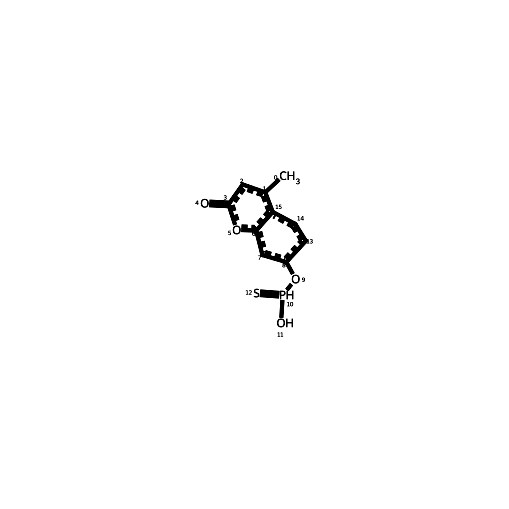 Cc1cc(=O)oc2cc(O[PH](O)=S)ccc12